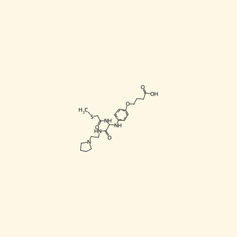 CSCC(=O)NC(Nc1ccc(OCCCC(=O)O)cc1)C(=O)NCCN1CCCC1